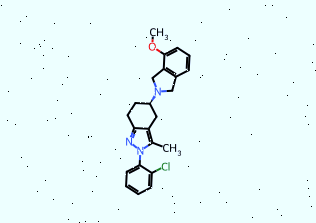 COc1cccc2c1CN([C@@H]1CCc3nn(-c4ccccc4Cl)c(C)c3C1)C2